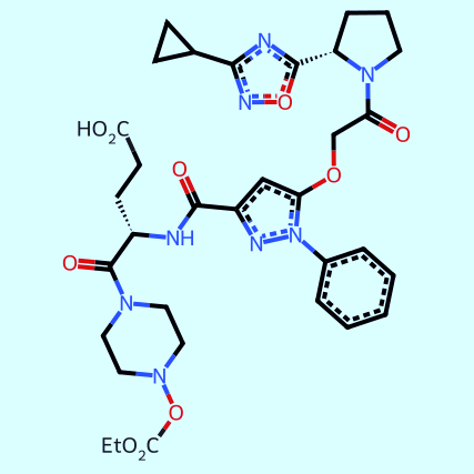 CCOC(=O)ON1CCN(C(=O)[C@H](CCC(=O)O)NC(=O)c2cc(OCC(=O)N3CCC[C@H]3c3nc(C4CC4)no3)n(-c3ccccc3)n2)CC1